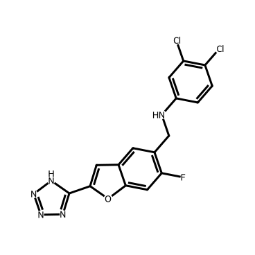 Fc1cc2oc(-c3nnn[nH]3)cc2cc1CNc1ccc(Cl)c(Cl)c1